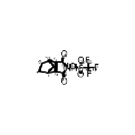 O=C1NC(=O)C2=C1C1CCC2C1.O=S(=O)(O)C(F)(F)F